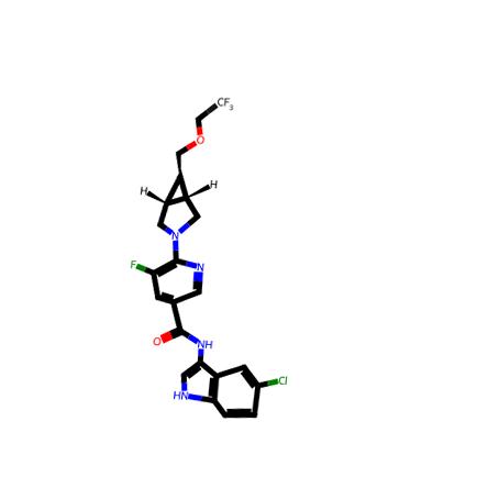 O=C(Nc1c[nH]c2ccc(Cl)cc12)c1cnc(N2C[C@@H]3[C@@H](COCC(F)(F)F)[C@@H]3C2)c(F)c1